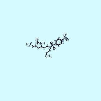 CCCN(CCC1CN(CC)C(=O)N1)S(=O)(=O)c1ccc([N+](=O)[O-])cc1